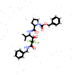 CC(C)C(NC(=O)C1CCCN1C(=O)OCc1ccccc1)C(=O)C(F)(F)C(=O)NCc1ccccc1